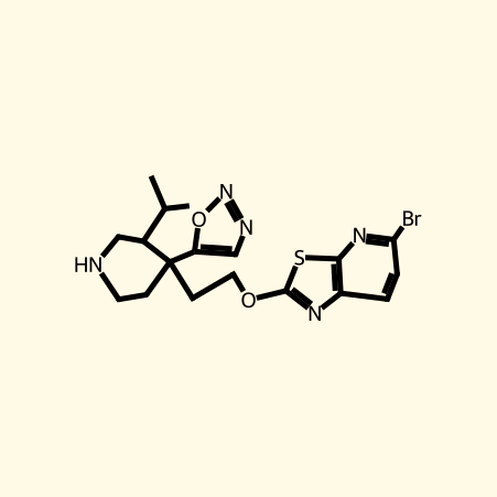 CC(C)C1CNCCC1(CCOc1nc2ccc(Br)nc2s1)c1cnno1